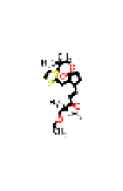 CCOCC(C)(C)C(=O)C=CC1CCC2(OCC(C)(C)CO2)C1CC1SCCS1